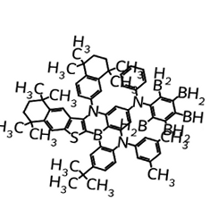 Bc1c(B)c(B)c(N(c2ccccc2)c2cc3c4c(c2)N(c2ccc5c(c2)C(C)(C)CCC5(C)C)c2c(sc5cc6c(cc25)C(C)(C)CCC6(C)C)B4c2cc(C(C)(C)C)ccc2N3c2cc(C)cc(C)c2)c(B)c1B